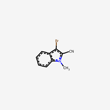 Cn1c(C#N)c(Br)c2ccccc21